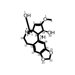 COC1=C[C@]23CC(O)CN2CCc2cc4c(cc2[C@@H]3[C@@H]1O)OCO4